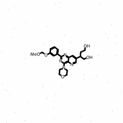 COCOc1cccc(-c2nc(N3CCOCC3)c3ncc(C(CO)CCO)cc3n2)c1